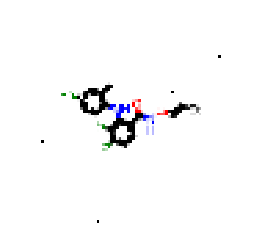 CCC=CONC(=O)c1ccc(F)c(F)c1Nc1ccc(Br)cc1C